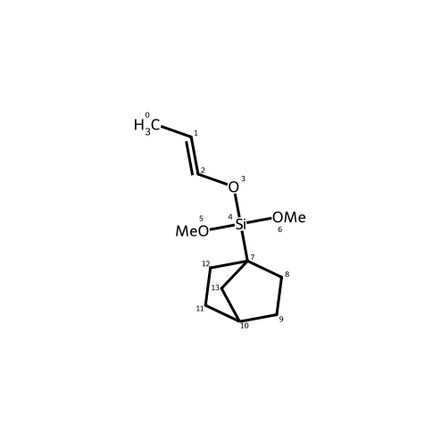 CC=CO[Si](OC)(OC)C12CCC(CC1)C2